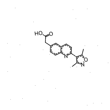 Cc1noc(C)c1-c1ccc2cc(CC(=O)O)ccc2n1